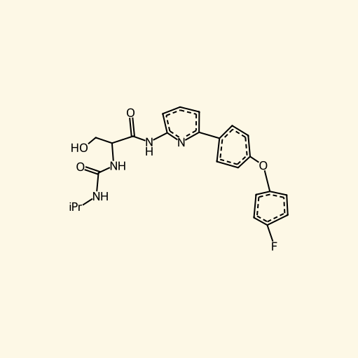 CC(C)NC(=O)NC(CO)C(=O)Nc1cccc(-c2ccc(Oc3ccc(F)cc3)cc2)n1